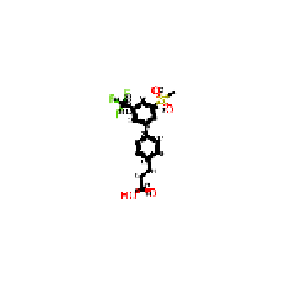 CS(=O)(=O)c1cc(-c2ccc(CCC(=O)O)cc2)cc(C(F)(F)F)c1